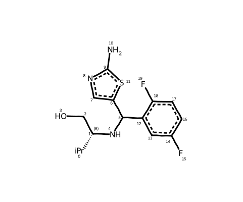 CC(C)[C@H](CO)NC(c1cnc(N)s1)c1cc(F)ccc1F